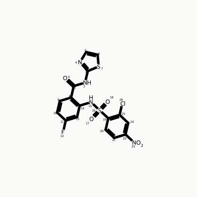 O=C(Nc1nccs1)c1ccc(F)cc1NS(=O)(=O)c1ccc([N+](=O)[O-])cc1Cl